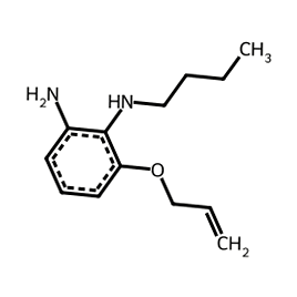 C=CCOc1cccc(N)c1NCCCC